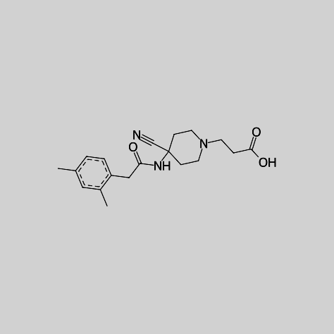 Cc1ccc(CC(=O)NC2(C#N)CCN(CCC(=O)O)CC2)c(C)c1